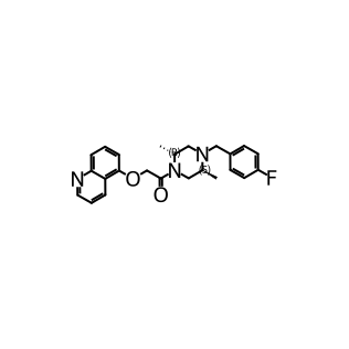 C[C@@H]1CN(Cc2ccc(F)cc2)[C@@H](C)CN1C(=O)COc1cccc2ncccc12